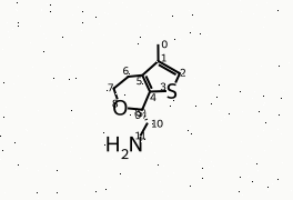 Cc1csc2c1CCO[C@H]2CN